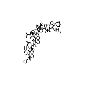 CC[C@H](NC(=O)[C@H](CC(C)C)N(C)C(=O)N(C)C(=O)[C@H](CC)NN(C)C(=O)[C@H](COCCC(C)C)N(C)C(=O)NC(=O)[C@H](C)N(C)C(=O)[C@H](N)C(=O)N1CCCCC1)C(=O)N(C)C(=O)N(C)C=O